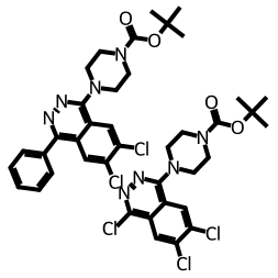 CC(C)(C)OC(=O)N1CCN(c2nnc(-c3ccccc3)c3cc(Cl)c(Cl)cc23)CC1.CC(C)(C)OC(=O)N1CCN(c2nnc(Cl)c3cc(Cl)c(Cl)cc23)CC1